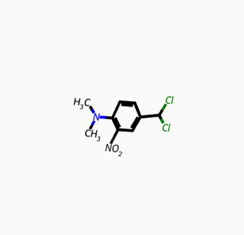 CN(C)c1ccc(C(Cl)Cl)cc1[N+](=O)[O-]